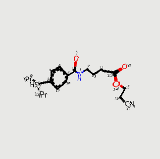 CC(C)[SiH](c1ccc(C(=O)NCCCC(=O)OCCC#N)cc1)C(C)C